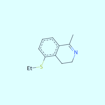 CCSc1cccc2c1CCN=C2C